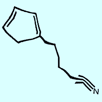 N#CCCC1=CC=CC1